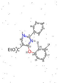 CCOC(=O)c1cnc(-c2ccccc2)nc1Oc1cccc(C)c1C